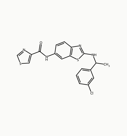 CC(Nc1nc2ccc(NC(=O)c3cscn3)cc2s1)c1cccc(Cl)c1